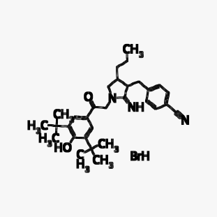 Br.CCCC1CN(CC(=O)c2cc(C(C)(C)C)c(O)c(C(C)(C)C)c2)C(=N)C1Cc1ccc(C#N)cc1